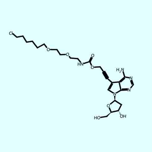 Nc1ncnc2c1c(C#CCOC(=O)NCCOCCOCCCCCCCl)cn2[C@H]1C[C@H](O)[C@@H](CO)O1